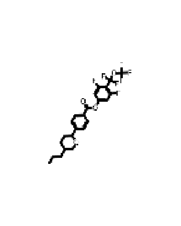 CCCC1CCC(c2ccc(C(=O)Oc3cc(F)c(C(F)(F)OC(F)(F)F)c(F)c3)cc2)OC1